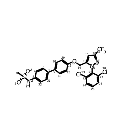 CS(=O)(=O)Nc1ccc(-c2ccc(OCc3cc(C(F)(F)F)nn3-c3c(Cl)cccc3Cl)cc2)cc1